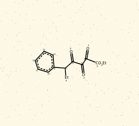 CCOC(=O)C(=O)C(=O)C(=O)C(CC)c1ccccc1